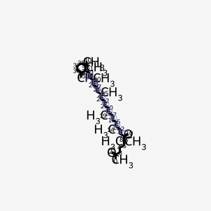 CC(=O)CCCC(C)(C)C(=O)/C=C/C(C)=C/C=C/C(C)=C/C=C/C=C(C)/C=C/C=C(C)/C=C/C1C(C)=CCCC1(C)C